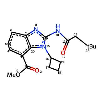 COC(=O)c1cccc2nc(NC(=O)CC(C)(C)C)n(C3CCC3)c12